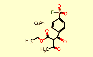 CCOC(=O)C(C(C)=O)C(=O)c1ccc(S(=O)(=O)F)cc1.[Cu+2]